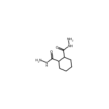 NNC(=O)C1CCCCC1C(=O)NN